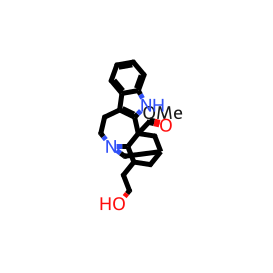 COC(=O)C12CC3CC(CCO)C1N(CCc1c2[nH]c2ccccc12)C3